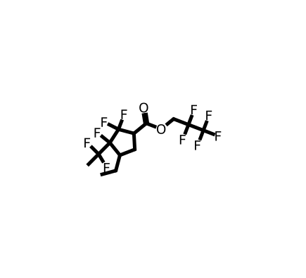 CCC1CC(C(=O)OCC(F)(F)C(F)(F)F)C(F)(F)C1(F)C(C)(F)F